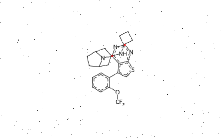 FC(F)(F)Oc1ccccc1-c1csc2ncnc(N3C4CCC3CC(NC3CCC3)C4)c12